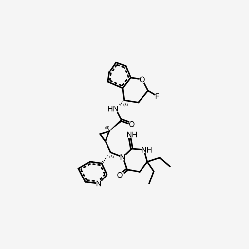 CCC1(CC)CC(=O)N([C@H](c2cccnc2)C2C[C@H]2C(=O)N[C@H]2CC(F)Oc3ccccc32)C(=N)N1